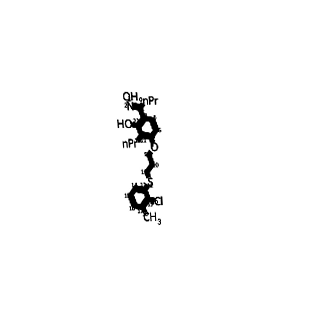 CCCC(=NO)c1ccc(OCCCSc2cc[c]c(C)c2Cl)c(CCC)c1O